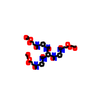 O=C(CCc1nc(-c2cccc(-c3noc(-c4cc(-c5nc(-c6cccc(-c7noc(CCC(=O)OCC8CO8)n7)c6)no5)cc(-c5nc(-c6cccc(-c7noc(CCC(=O)OC8COC8)n7)c6)no5)c4)n3)c2)no1)OCC1CO1